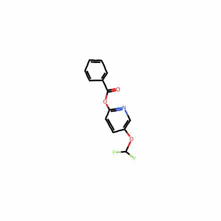 O=C(Oc1ccc(OC(F)F)cn1)c1ccccc1